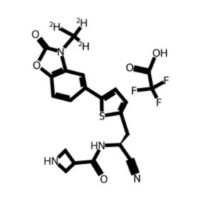 O=C(O)C(F)(F)F.[2H]C([2H])([2H])n1c(=O)oc2ccc(-c3ccc(C[C@@H](C#N)NC(=O)C4CNC4)s3)cc21